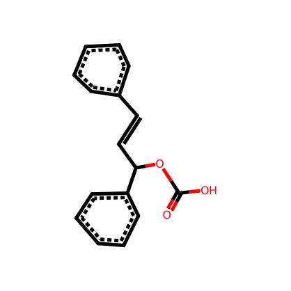 O=C(O)OC(C=Cc1ccccc1)c1ccccc1